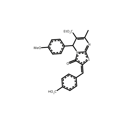 CCOC(=O)C1=C(C)N=c2s/c(=C/c3ccc(C(=O)O)cc3)c(=O)n2C1c1ccc(OC)cc1